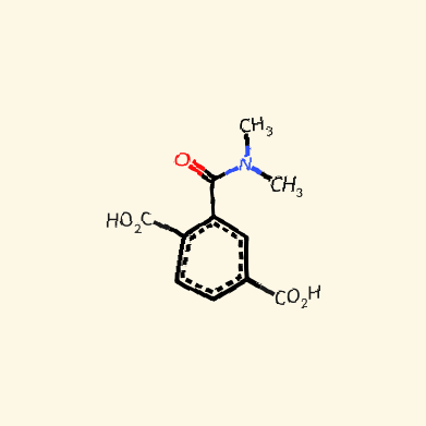 CN(C)C(=O)c1cc(C(=O)O)ccc1C(=O)O